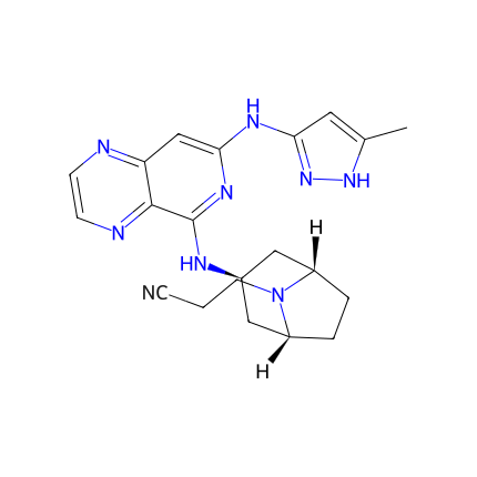 Cc1cc(Nc2cc3nccnc3c(N[C@@H]3C[C@H]4CC[C@@H](C3)N4CCC#N)n2)n[nH]1